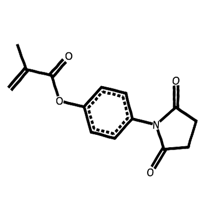 C=C(C)C(=O)Oc1ccc(N2C(=O)CCC2=O)cc1